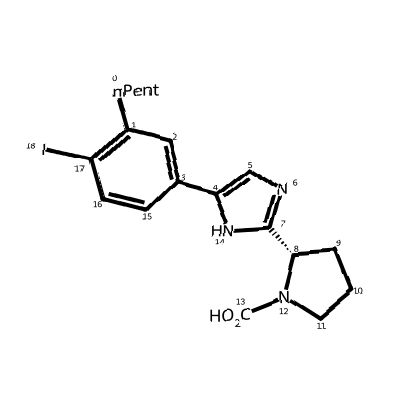 CCCCCc1cc(-c2cnc([C@@H]3CCCN3C(=O)O)[nH]2)ccc1I